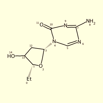 CC[C@H]1O[C@@H](n2cnc(N)nc2=O)CC1O